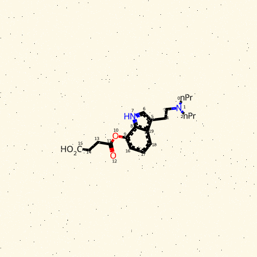 CCCN(CCC)CCc1c[nH]c2c(OC(=O)CCC(=O)O)cccc12